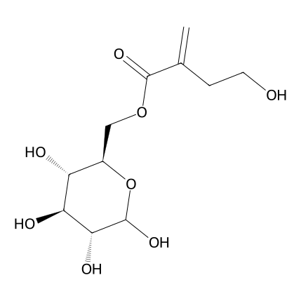 C=C(CCO)C(=O)OC[C@H]1OC(O)[C@H](O)[C@@H](O)[C@@H]1O